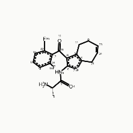 C[C@H](N)C(=O)Nc1sc2c(c1C(=O)c1c(F)cccc1F)CCC=CC2